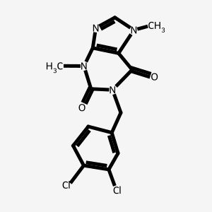 Cn1cnc2c1c(=O)n(Cc1ccc(Cl)c(Cl)c1)c(=O)n2C